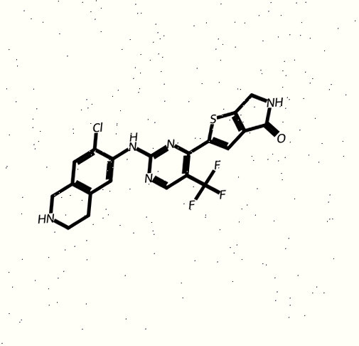 O=C1NCc2sc(-c3nc(Nc4cc5c(cc4Cl)CNCC5)ncc3C(F)(F)F)cc21